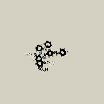 C1CCC(NC2CCCCC2)CC1.O=C1C(S(=O)(=O)O)=Cc2cc(S(=O)(=O)O)cc(S(=O)(=O)O)c2/C1=N/Nc1ccc(N=Nc2ccccc2)cc1